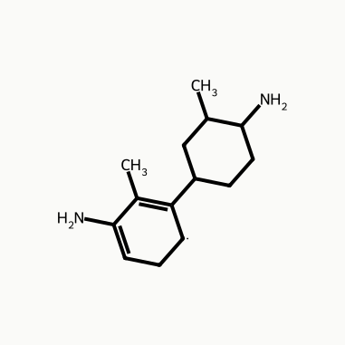 CC1=C(C2CCC(N)C(C)C2)[CH]CC=C1N